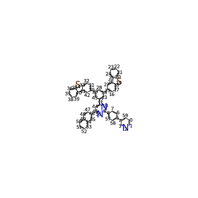 c1cncc(-c2ccc(-c3nc(-c4cc(-c5ccc6sc7ccccc7c6c5)cc(-c5ccc6sc7ccccc7c6c5)c4)cc(-c4ccc5ccccc5c4)n3)cc2)c1